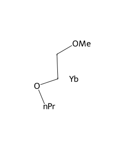 CCCOCCOC.[Yb]